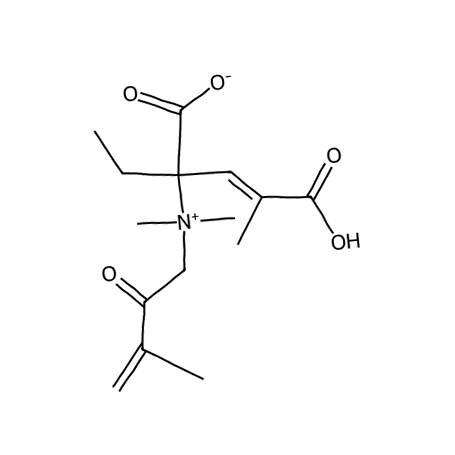 C=C(C)C(=O)C[N+](C)(C)C(C=C(C)C(=O)O)(CC)C(=O)[O-]